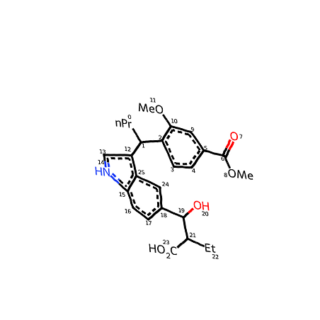 CCCC(c1ccc(C(=O)OC)cc1OC)c1c[nH]c2ccc(C(O)C(CC)C(=O)O)cc12